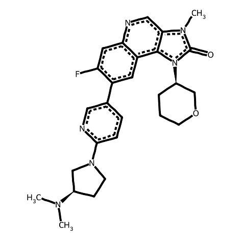 CN(C)[C@@H]1CCN(c2ccc(-c3cc4c(cc3F)ncc3c4n([C@@H]4CCCOC4)c(=O)n3C)cn2)C1